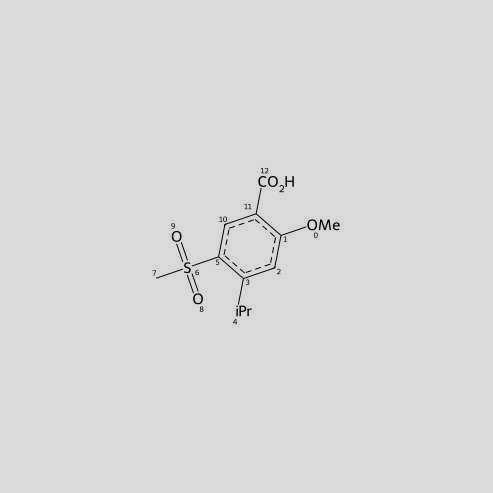 COc1cc(C(C)C)c(S(C)(=O)=O)cc1C(=O)O